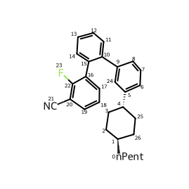 CCCCC[C@H]1CC[C@H](c2cccc(-c3ccccc3-c3cccc(C#N)c3F)c2)CC1